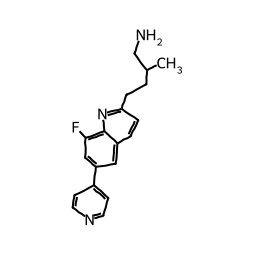 CC(CN)CCc1ccc2cc(-c3ccncc3)cc(F)c2n1